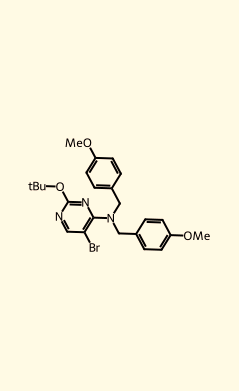 COc1ccc(CN(Cc2ccc(OC)cc2)c2nc(OC(C)(C)C)ncc2Br)cc1